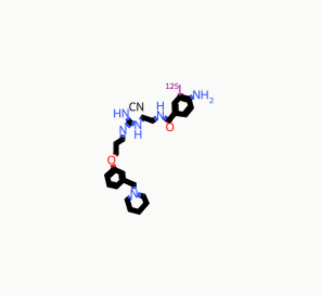 N#CNC(=NCCCOc1cccc(CN2CCCCC2)c1)NCCNC(=O)c1ccc(N)c([125I])c1